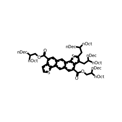 CCCCCCCCCCC(CCCCCCCC)COC(=O)c1cc2cc3c(cc(C(=O)OCC(CCCCCCCC)CCCCCCCCCC)c4c(CC(CCCCCCCC)CCCCCCCCCC)c(CC(CCCCCCCC)CCCCCCCCCC)sc43)cc2c2sccc12